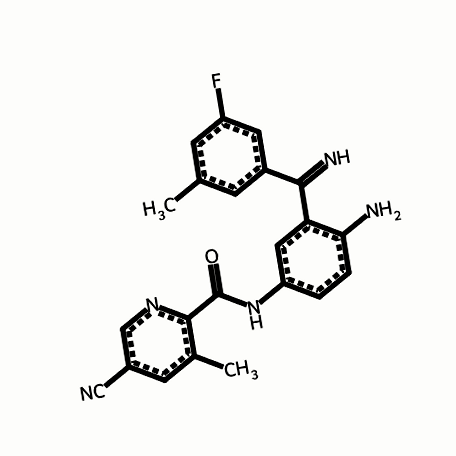 Cc1cc(F)cc(C(=N)c2cc(NC(=O)c3ncc(C#N)cc3C)ccc2N)c1